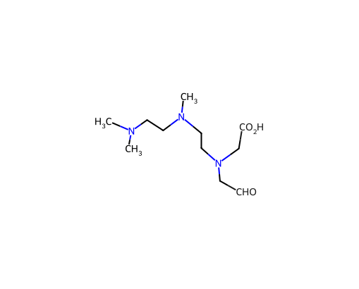 CN(C)CCN(C)CCN(CC=O)CC(=O)O